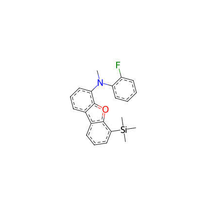 CN(c1ccccc1F)c1cccc2c1oc1c([Si](C)(C)C)cccc12